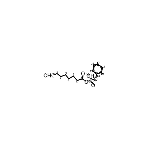 O=CCCCCCCC(=O)OP(=O)(O)Oc1ccccc1